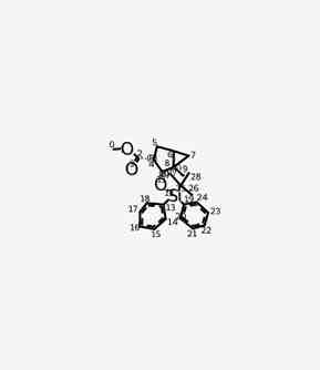 COC(=O)[C@@H]1CC2C[C@]2(C)[C@@H]1O[Si](c1ccccc1)(c1ccccc1)C(C)(C)C